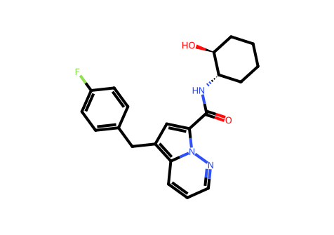 O=C(N[C@H]1CCCC[C@@H]1O)c1cc(Cc2ccc(F)cc2)c2cccnn12